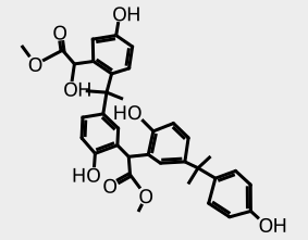 COC(=O)C(O)c1cc(O)ccc1C(C)(C)c1ccc(O)c(C(C(=O)OC)c2cc(C(C)(C)c3ccc(O)cc3)ccc2O)c1